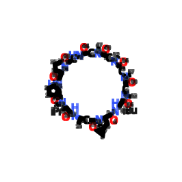 CC[C@H](C)C1NC(=O)C(CC2CC2)N(C)C(=O)CC(C)NC(=O)C(C(C)C)N(C)C(=O)C2(CCCC2)NC(=O)C2CCCN2C(=O)CNC(=O)CN(C)C(=O)CN(C)C(=O)CN(C)C(=O)CN(C)C1=O